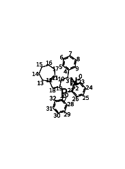 CN(C)[C@@H](c1ccccc1)[C@H]1C2=C(CCCCC2)C[C@H]1P(c1ccccc1)c1ccccc1